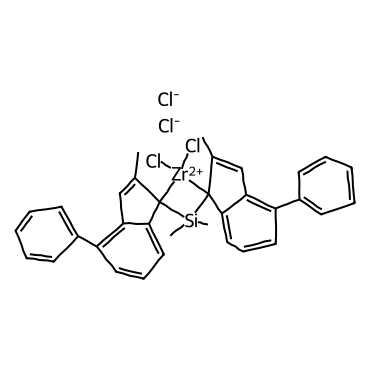 CC1=Cc2c(-c3ccccc3)cccc2[C]12[Si](C)(C)[C]1(C(C)=Cc3c(-c4ccccc4)cccc31)[Zr+2]2([Cl])[Cl].[Cl-].[Cl-]